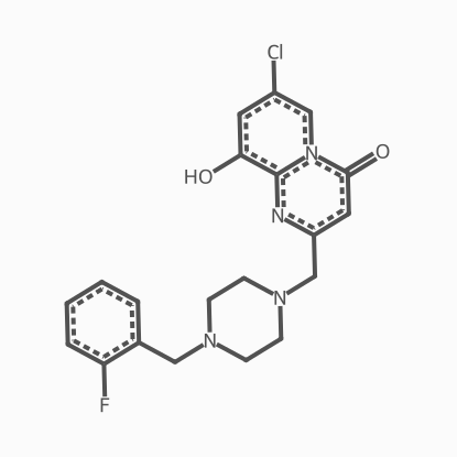 O=c1cc(CN2CCN(Cc3ccccc3F)CC2)nc2c(O)cc(Cl)cn12